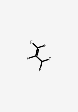 F[C](F)C(F)=C(F)F